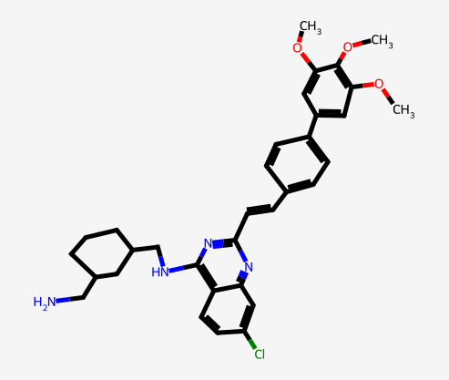 COc1cc(-c2ccc(C=Cc3nc(NCC4CCCC(CN)C4)c4ccc(Cl)cc4n3)cc2)cc(OC)c1OC